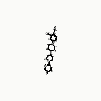 Cc1cnc(N2CCC(C3CCN(c4ccc(C#N)c(Cl)c4)CC3)CC2)nc1